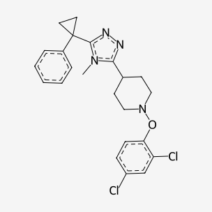 Cn1c(C2CCN(Oc3ccc(Cl)cc3Cl)CC2)nnc1C1(c2ccccc2)CC1